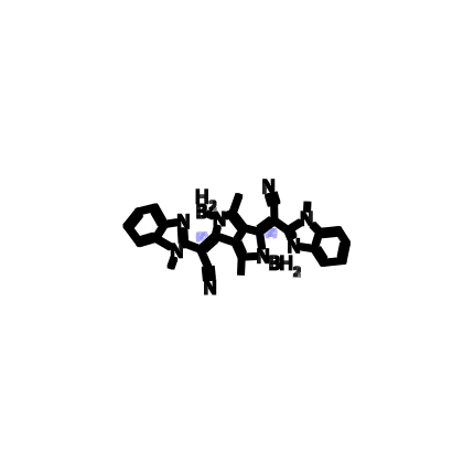 Bn1c(C)c2/c(=C(\C#N)c3nc4ccccc4n3C)n(B)c(C)c2/c1=C(\C#N)c1nc2ccccc2n1C